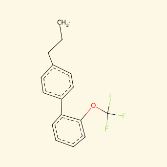 [CH2]CCc1ccc(-c2ccccc2OC(F)(F)F)cc1